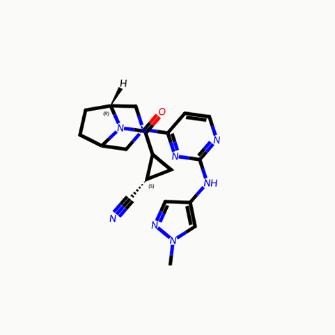 Cn1cc(Nc2nccc(N3CC4CC[C@H](C3)N4C(=O)C3C[C@@H]3C#N)n2)cn1